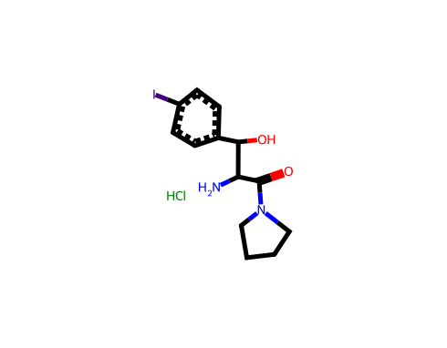 Cl.NC(C(=O)N1CCCC1)C(O)c1ccc(I)cc1